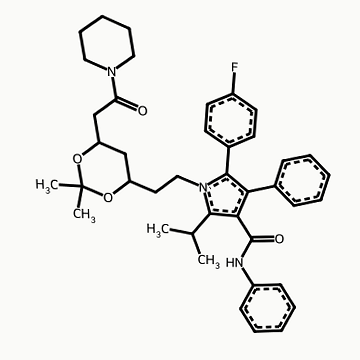 CC(C)c1c(C(=O)Nc2ccccc2)c(-c2ccccc2)c(-c2ccc(F)cc2)n1CCC1CC(CC(=O)N2CCCCC2)OC(C)(C)O1